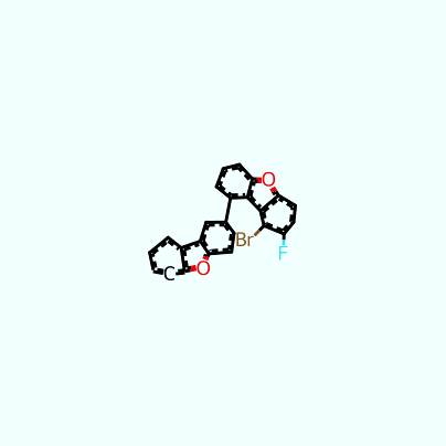 Fc1ccc2oc3cccc(-c4ccc5oc6ccccc6c5c4)c3c2c1Br